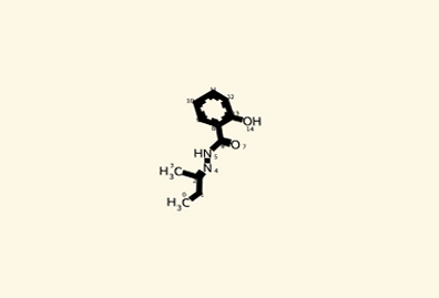 CC/C(C)=N/NC(=O)c1ccccc1O